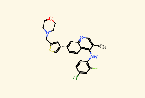 N#Cc1cnc2cc(-c3csc(CN4CCOCC4)c3)ccc2c1Nc1ccc(Cl)cc1F